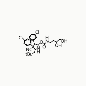 CC(C)(C)C[C@@H]1N[C@H](OC(=O)NCC[C@H](O)CO)[C@H](c2cccc(Cl)c2)[C@@]1(C#N)c1ccc(Cl)cc1